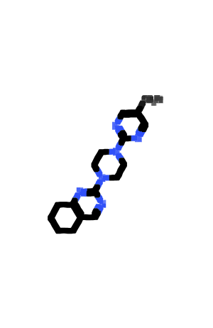 CCOC(=O)c1cnc(N2CCN(c3ncc4c(n3)CCCC4)CC2)nc1